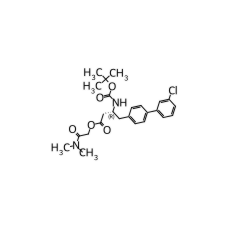 CN(C)C(=O)COC(=O)C[C@@H](Cc1ccc(-c2cccc(Cl)c2)cc1)NC(=O)OC(C)(C)C